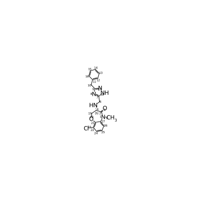 CN1C(=O)[C@@H](NCc2nc(Cc3ccccc3)n[nH]2)COc2c(Cl)cccc21